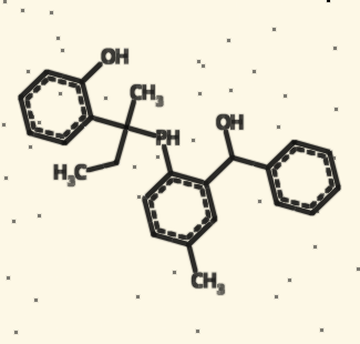 CCC(C)(Pc1ccc(C)cc1C(O)c1ccccc1)c1ccccc1O